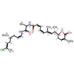 COC1=CC[C@@H]([C@@H](C)/C=C(C)/C=C\C=C/C(=O)NC(C(=O)N/C=C\C[C@H](C/C=C(\C)Cl)OC)C(C)(C)C)OC1=O